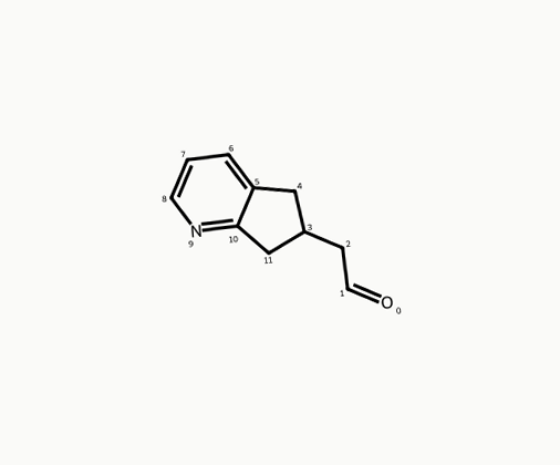 O=CCC1Cc2cccnc2C1